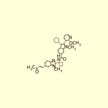 COc1ncccc1-c1c(C2CCCC2)c2ccc(C(=O)NC3(c4nc5ccc(/C=C/C(C)=O)cc5n4C)CCC3)cc2n1C